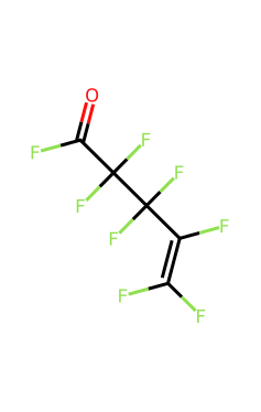 O=C(F)C(F)(F)C(F)(F)C(F)=C(F)F